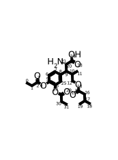 CCC(=O)Oc1ccc(C(C(C)COC(=O)CC(C)C)[C@H](N)C(=O)O)cc1OC(=O)CC